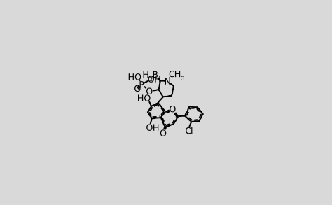 BC1C(OP(=O)(O)O)C(c2c(O)cc(O)c3c(=O)cc(-c4ccccc4Cl)oc23)CCN1C